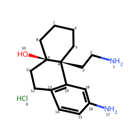 Cl.NCC[C@]12CCCC[C@@]1(O)CCc1ccc(N)cc12